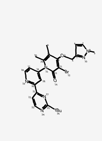 Cc1c(OCc2ccn(C)n2)c(Br)c(=O)n(-c2ccnc(-c3ccnc(C(C)(C)C)n3)c2)c1C